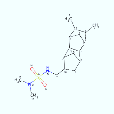 CC1C(C)C2CC1C1C3CC(CNS(=O)(=O)N(C)C)C(C3)C21